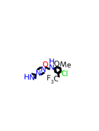 COc1cc(Cl)c(CC(F)(F)F)cc1NCC(=O)N1CCN(C2CNC2)CC1